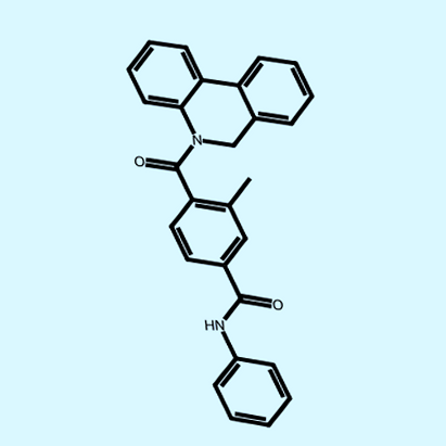 Cc1cc(C(=O)Nc2ccccc2)ccc1C(=O)N1Cc2ccccc2-c2ccccc21